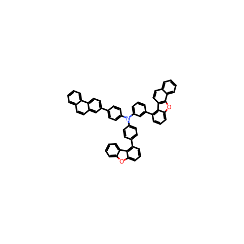 c1cc(-c2cccc3oc4c5ccccc5ccc4c23)cc(N(c2ccc(-c3ccc4c(ccc5ccccc54)c3)cc2)c2ccc(-c3cccc4oc5ccccc5c34)cc2)c1